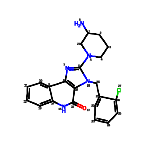 NC1CCCN(c2nc3c4ccccc4[nH]c(=O)c3n2Cc2ccccc2Cl)C1